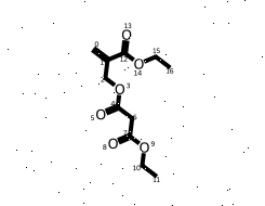 C=C(COC(=O)CC(=O)OCC)C(=O)OCC